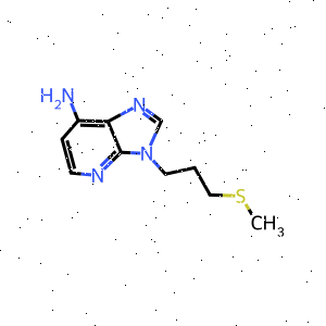 CSCCCn1cnc2c(N)ccnc21